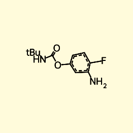 CC(C)(C)NC(=O)Oc1ccc(F)c(N)c1